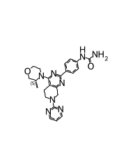 C[C@H]1COCCN1c1nc(-c2ccc(NC(N)=O)cc2)nc2c1CCN(c1ncccn1)C2